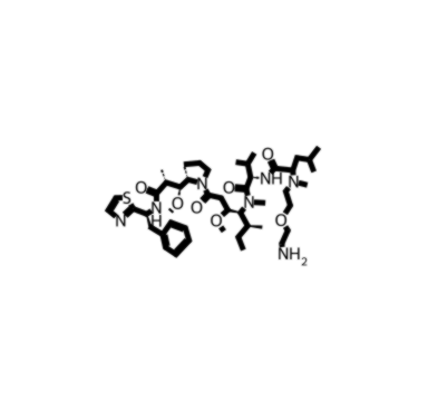 CC[C@H](C)[C@@H](C(CC(=O)N1CCC[C@H]1[C@H](OC)[C@@H](C)C(=O)N[C@@H](Cc1ccccc1)c1nccs1)OC)N(C)C(=O)[C@@H](NC(=O)C(CC(C)C)N(C)CCOCCN)C(C)C